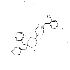 Clc1ccccc1CN1CCN(C2CCCC(Cc3ccccc3)(Cc3ccccc3)CC2)CC1